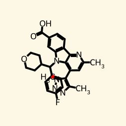 Cc1cc(-c2c(C)nnn2C)c2c(n1)c1ccc(C(=O)O)cc1n2C(c1ccc(F)cc1)C1CCOCC1